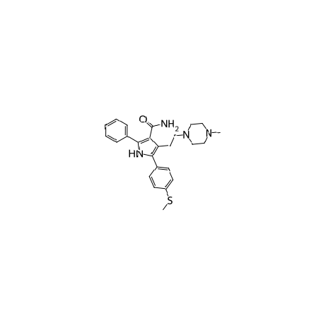 CSc1ccc(-c2[nH]c(-c3ccccc3)c(C(N)=O)c2CCN2CCN(C)CC2)cc1